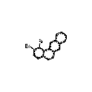 Brc1ccc2ccc3cc4ccccc4cc3c2c1Br